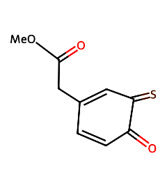 COC(=O)CC1=CC(=S)C(=O)C=C1